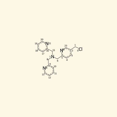 ClCc1ccc(CN(Cc2ccccn2)Cc2ccccn2)nc1